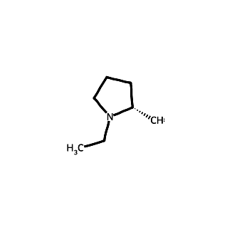 [CH][C@H]1CCCN1CC